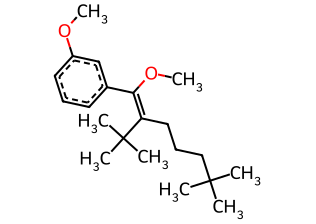 COC(=C(CCCC(C)(C)C)C(C)(C)C)c1cccc(OC)c1